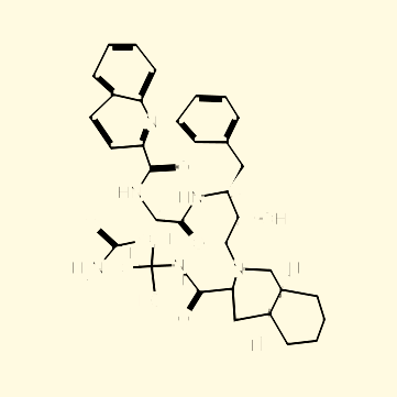 CC(C)(C)NC(=O)C1C[C@@H]2CCCC[C@@H]2CN1C[C@@H](O)[C@H](Cc1ccccc1)NC(=O)[C@H](CC(N)=O)NC(=O)c1ccc2ccccc2n1